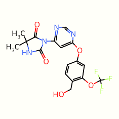 CC1(C)NC(=O)N(c2cc(Oc3ccc(CO)c(OC(F)(F)F)c3)ncn2)C1=O